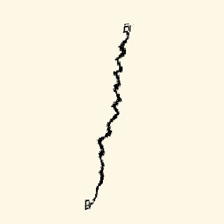 BrCCCCCCCCCCCCCCCCCCCCCBr